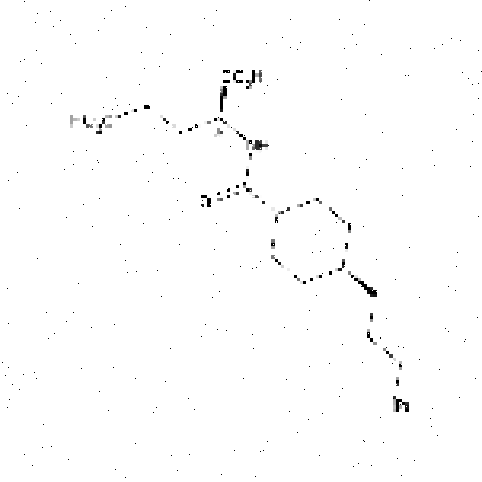 CC(C)CCC[C@H]1CC[C@H](C(=O)N[C@@H](CCC(=O)O)C(=O)O)CC1